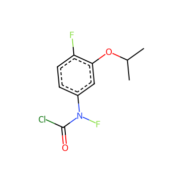 CC(C)Oc1cc(N(F)C(=O)Cl)ccc1F